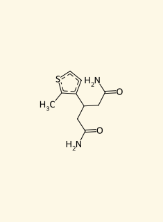 Cc1sccc1C(CC(N)=O)CC(N)=O